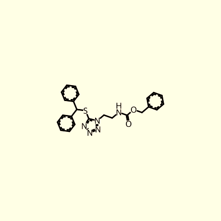 O=C(NCCn1nnnc1SC(c1ccccc1)c1ccccc1)OCc1ccccc1